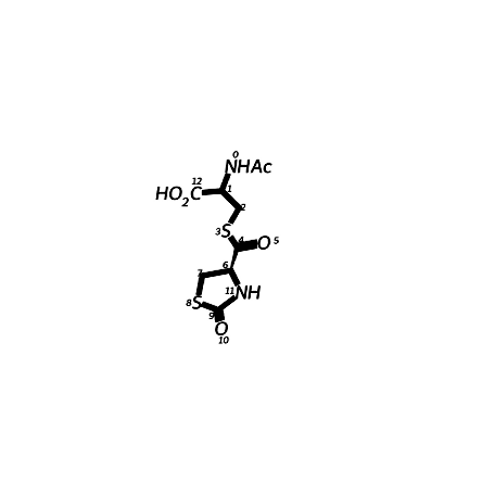 CC(=O)NC(CSC(=O)[C@@H]1CSC(=O)N1)C(=O)O